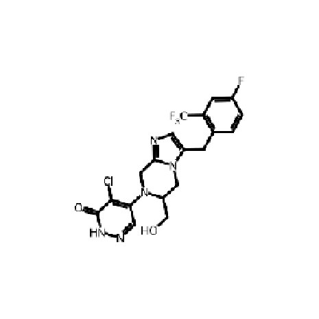 O=c1[nH]ncc(N2Cc3ncc(Cc4ccc(F)cc4C(F)(F)F)n3CC2CO)c1Cl